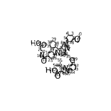 COc1cccc(-n2cc(C(Nc3ccc(C(=O)N(C)CCC(=O)O)cc3)C3CCCCC3)c(C(C)C)n2)c1.COc1cccc([N+]2(C)C=C(C(=O)O)C(C(C)C)=N2)c1